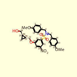 COc1ccc(CN(Cc2ccc(OC)cc2)S(=O)(=O)c2cc(OC[C@@H]3C[C@H]3CO)cc([N+](=O)[O-])c2)cc1